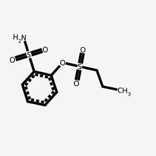 CCCS(=O)(=O)Oc1ccccc1S(N)(=O)=O